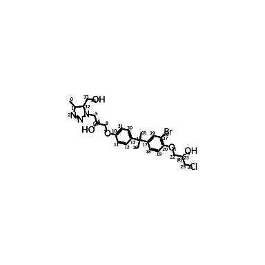 CC1N=NN(C[C@H](O)COc2ccc(C(C)(C)c3ccc(OC[C@@H](O)CCl)c(Br)c3)cc2)C1CO